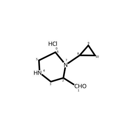 Cl.O=CC1CNCCN1C1CC1